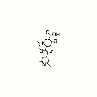 Cc1cc(-c2ccc3c(=O)c(C(=O)O)cn4c3c2OCC4C)cc(C)n1